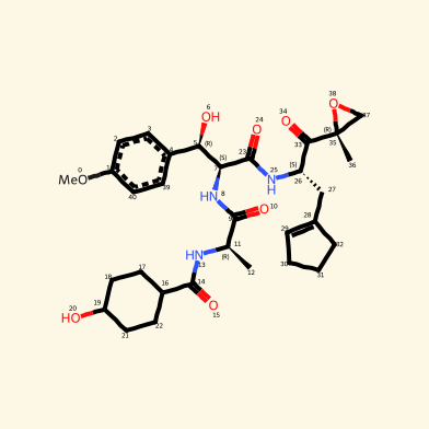 COc1ccc([C@@H](O)[C@H](NC(=O)[C@@H](C)NC(=O)C2CCC(O)CC2)C(=O)N[C@@H](CC2=CCCC2)C(=O)[C@@]2(C)CO2)cc1